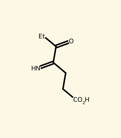 CCC(=O)C(=N)CCC(=O)O